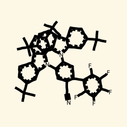 CC(C)(C)c1ccc2c3ccc(C(C)(C)C)cc3n(-c3cc(C#N)c(-c4c(F)c(F)c(F)c(F)c4F)cc3-n3c4cc(C(C)(C)C)ccc4c4ccc(C(C)(C)C)cc43)c2c1